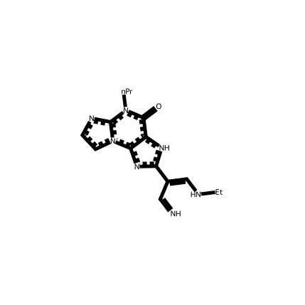 CCCn1c(=O)c2[nH]c(/C(C=N)=C/NCC)nc2n2ccnc12